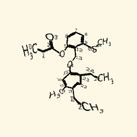 CCC(=O)Oc1cccc(SC)c1COc1cc(C)c(CC)cc1CC